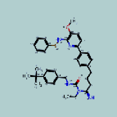 CCN(C(=N)CCCc1ccc(-c2ccc(OC)c(NSc3ccccc3)n2)cc1)C(=O)NCc1ccc(C(C)(C)C)cc1